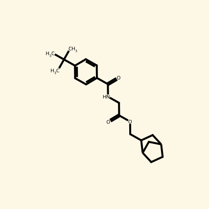 CC(C)(C)c1ccc(C(=O)NCC(=O)OCC2CC3CCC2C3)cc1